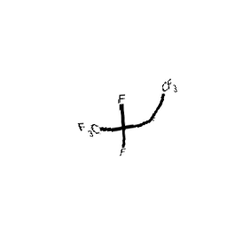 FC(F)(F)[C]C(F)(F)C(F)(F)F